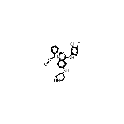 Fc1ccc(Nc2ncnc3ccc(NC4CCNCC4)cc23)cc1Cl.O=COCc1ccccc1